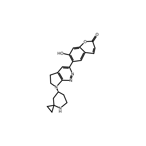 O=c1ccc2cc(-c3cc4c(nn3)N([C@H]3CCNC5(CC5)C3)CC4)c(O)cc2o1